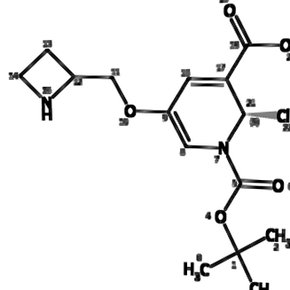 CC(C)(C)OC(=O)N1C=C(OCC2CCN2)C=C(C(=O)O)[C@@H]1Cl